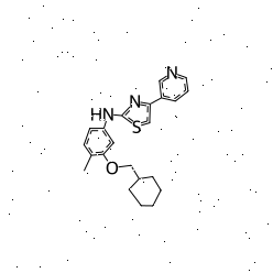 Cc1ccc(Nc2nc(-c3cccnc3)cs2)cc1OCC1CCCCC1